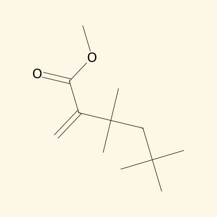 C=C(C(=O)OC)C(C)(C)CC(C)(C)C